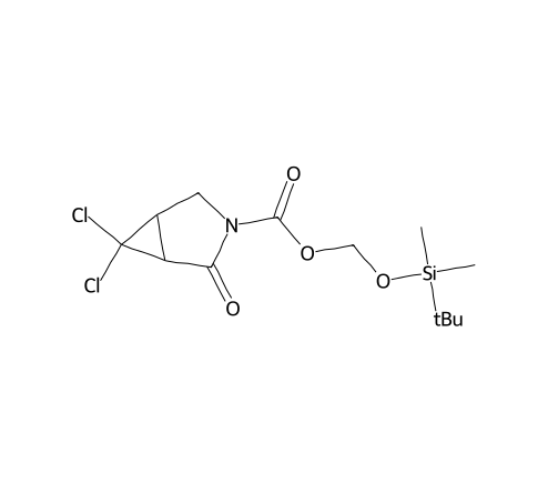 CC(C)(C)[Si](C)(C)OCOC(=O)N1CC2C(C1=O)C2(Cl)Cl